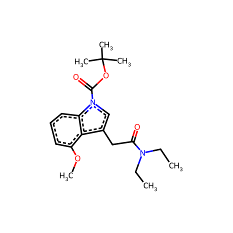 CCN(CC)C(=O)Cc1cn(C(=O)OC(C)(C)C)c2cccc(OC)c12